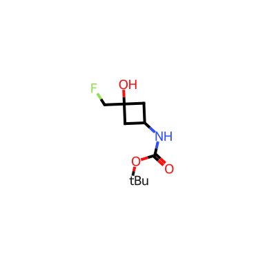 CC(C)(C)OC(=O)NC1CC(O)(CF)C1